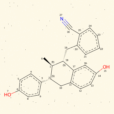 C[C@@H]1[C@@H](c2ccc(O)cc2)Cc2ccc(O)cc2[C@H]1Cc1ccccc1C#N